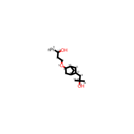 CCCC(O)CCOC1CC2CC1CC2CC(C)(C)O